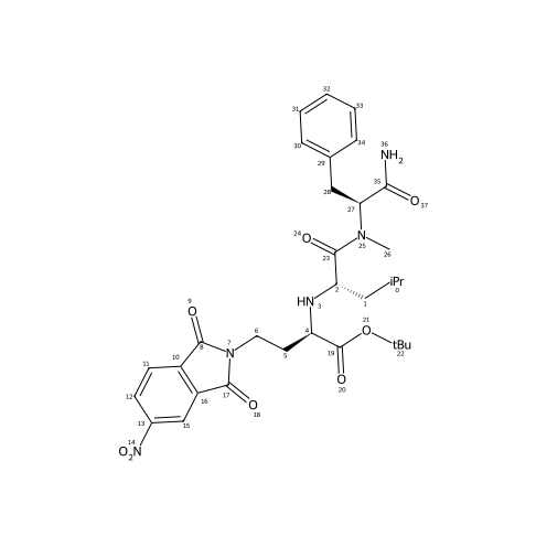 CC(C)C[C@H](N[C@H](CCN1C(=O)c2ccc([N+](=O)[O-])cc2C1=O)C(=O)OC(C)(C)C)C(=O)N(C)[C@@H](Cc1ccccc1)C(N)=O